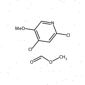 COC=O.COc1cnc(Cl)cc1Cl